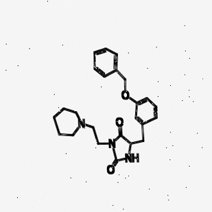 O=C1NC(Cc2cccc(OCc3ccccc3)c2)C(=O)N1CCN1CCCCC1